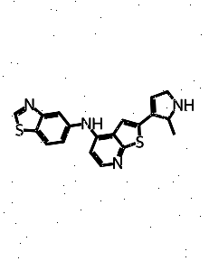 CC1NCC=C1c1cc2c(Nc3ccc4scnc4c3)ccnc2s1